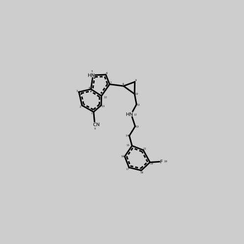 N#Cc1ccc2[nH]cc(C3CC3CNCCc3cccc(F)c3)c2c1